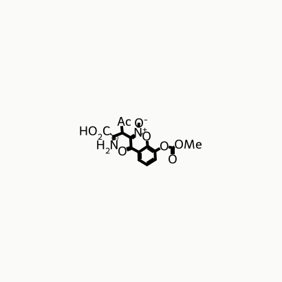 COC(=O)Oc1cccc2c(=O)c(C(C(C)=O)[C@H](N)C(=O)O)[n+]([O-])oc12